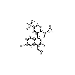 CN(c1ccc(S(C)(=O)=O)cc1-c1c[n+](C)c(C=O)c2cc(F)ccc12)C1CC1